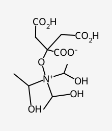 CC(O)[N+](OC(CC(=O)O)(CC(=O)O)C(=O)[O-])(C(C)O)C(C)O